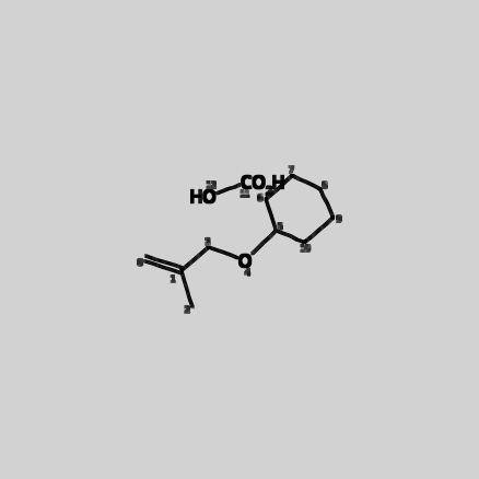 C=C(C)COC1CCCCC1.O=C(O)O